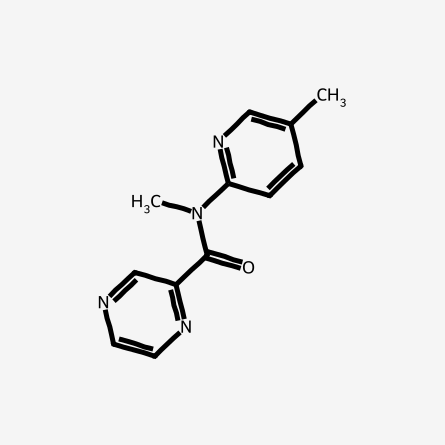 Cc1ccc(N(C)C(=O)c2cnccn2)nc1